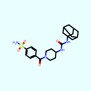 NS(=O)(=O)c1ccc(C(=O)N2CCC(NC(=O)NC34CC5CC(CC(C5)C3)C4)CC2)cc1